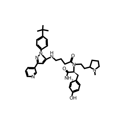 CN1CCCC1CCN(C(=O)CCCNc1cc(-c2cccnc2)nn1-c1ccc(C(C)(C)C)cc1)[C@@H](Cc1ccc(O)cc1)C(N)=O